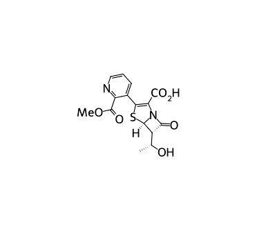 COC(=O)c1ncccc1C1=C(C(=O)O)N2C(=O)[C@H]([C@@H](C)O)[C@H]2S1